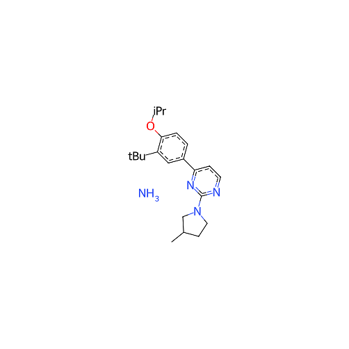 CC1CCN(c2nccc(-c3ccc(OC(C)C)c(C(C)(C)C)c3)n2)C1.N